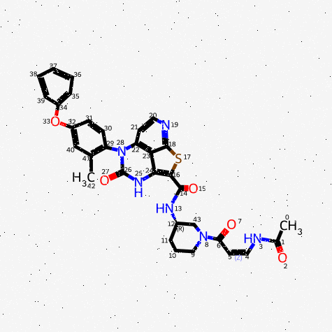 CC(=O)N/C=C\C(=O)N1CCC[C@@H](NC(=O)c2sc3nccc4c3c2NC(=O)N4c2ccc(Oc3ccccc3)cc2C)C1